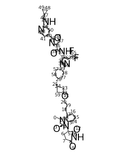 Cn1c(=O)n(C2CCC(=O)NC2=O)c2cccc(CCCOC3CC(C[C@H]4CC[C@H](n5cc(NC(=O)c6coc(-c7ccnc(NCC8CC8)c7)n6)c(C(F)F)n5)CC4)C3)c21